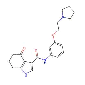 O=C(Nc1cccc(OCCN2CCCC2)c1)c1c[nH]c2c1C(=O)CCC2